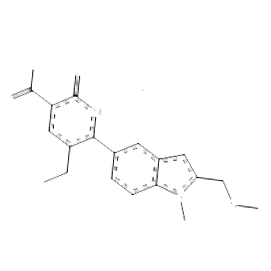 CCc1cc(C(=O)O)c(=O)[nH]c1-c1ccc2c(c1)cc(CNC)n2C.Cl